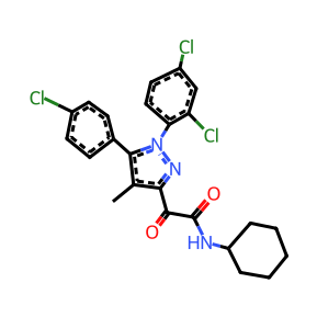 Cc1c(C(=O)C(=O)NC2CCCCC2)nn(-c2ccc(Cl)cc2Cl)c1-c1ccc(Cl)cc1